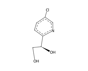 OC[C@H](O)c1ccc(Cl)cn1